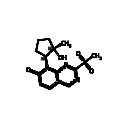 C[C@]1(O)CCC[C@@H]1n1c(=O)ccc2cnc(S(C)(=O)=O)nc21